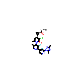 COC(=O)[C@H]1C[C@@H]1c1cc(C)n(-c2c(C)cnc(-c3ccnc(-n4nc(C)nc4C)c3F)c2F)c(=O)c1Cl